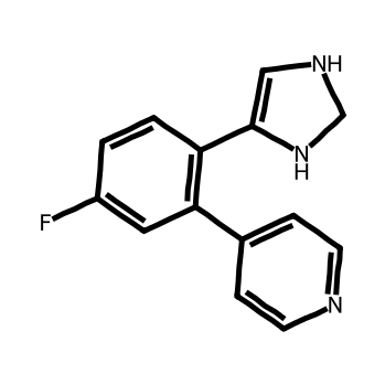 Fc1ccc(C2=CNCN2)c(-c2ccncc2)c1